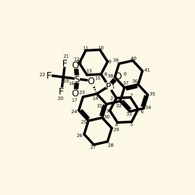 O=P(C1CCCCC1)(C1CCCCC1)[C@]1(OS(=O)(=O)C(F)(F)F)CC=C2CCCCC2=C1c1cccc2c1CCCC2